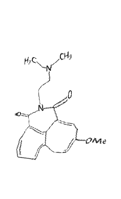 COc1cc2c3c(cccc3c1)C(=O)N(CCN(C)C)C2=O